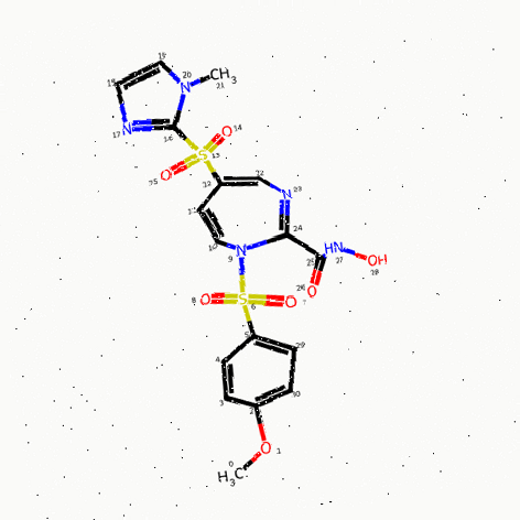 COc1ccc(S(=O)(=O)N2C=CC(S(=O)(=O)c3nccn3C)=CN=C2C(=O)NO)cc1